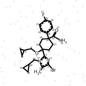 Cc1c(Br)nc(C2(OCC3CC3)CCC(C(N)=O)(c3ccc(F)cc3)CC2)n1CC1CC1